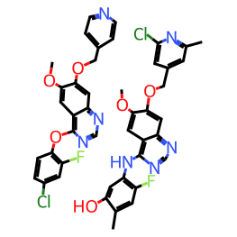 COc1cc2c(Nc3cc(O)c(C)cc3F)ncnc2cc1OCc1cc(C)nc(Cl)c1.COc1cc2c(Oc3ccc(Cl)cc3F)ncnc2cc1OCc1ccncc1